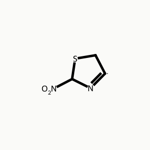 O=[N+]([O-])C1N=[C]CS1